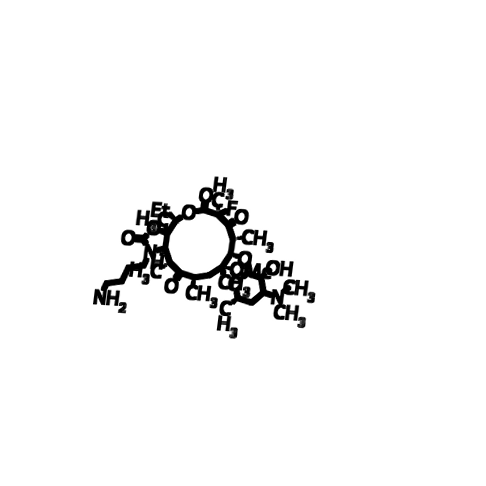 CC[C@H]1OC(=O)[C@@](C)(F)C(=O)[C@H](C)[C@@H](O[C@@H]2O[C@H](C)CC(N(C)C)C2O)[C@](C)(OC)C[C@@H](C)C(=O)[C@H](C)[C@H]2N(CCCCN)C(=O)O[C@]12C